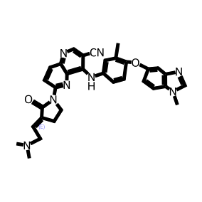 Cc1cc(Nc2c(C#N)cnc3ccc(N4CC/C(=C\CN(C)C)C4=O)nc23)ccc1Oc1ccc2c(c1)ncn2C